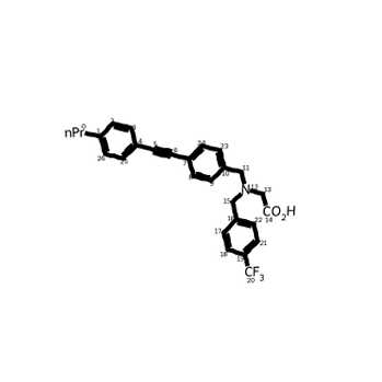 CCCc1ccc(C#Cc2ccc(CN(CC(=O)O)Cc3ccc(C(F)(F)F)cc3)cc2)cc1